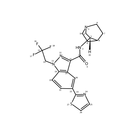 O=C(N[C@@H]1CN2CCC1CC2)c1nn(CC(F)(F)F)c2ccc(-c3nccs3)cc12